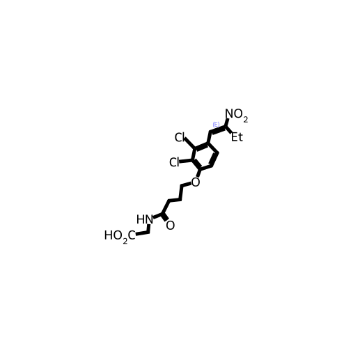 CC/C(=C\c1ccc(OCCCC(=O)NCC(=O)O)c(Cl)c1Cl)[N+](=O)[O-]